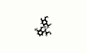 CCc1cc(C(F)F)c(OCc2c(Br)cccc2N(O)C(=O)OC)cc1C